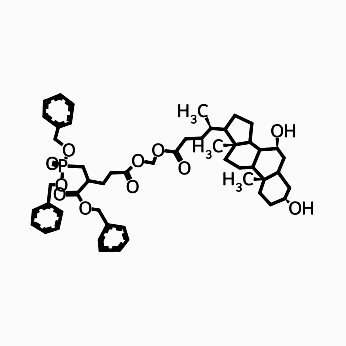 C[C@H](CCC(=O)OCOC(=O)CCC(CP(=O)(OCc1ccccc1)OCc1ccccc1)C(=O)OCc1ccccc1)C1CCC2C3C(CC[C@@]21C)[C@@]1(C)CC[C@@H](O)CC1C[C@@H]3O